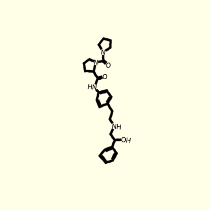 O=C(Nc1ccc(CCNCC(O)c2ccccc2)cc1)C1CCCN1C(=O)N1CCCC1